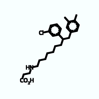 Cc1ccc(CC(CCCCCCCNCCC(=O)O)c2cccc(Cl)c2)cc1C